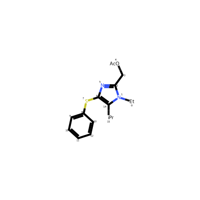 CCn1c(COC(C)=O)nc(Sc2ccccc2)c1C(C)C